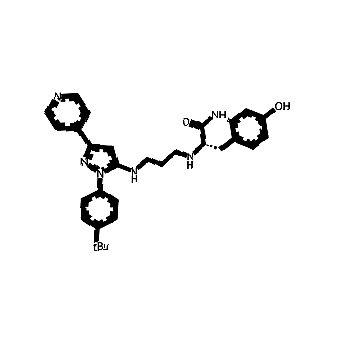 CC(C)(C)c1ccc(-n2nc(-c3ccncc3)cc2NCCCN[C@@H](Cc2ccc(O)cc2)C(N)=O)cc1